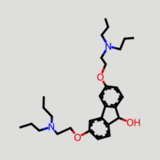 CCCN(CCC)CCOc1ccc2c(c1)-c1cc(OCCN(CCC)CCC)ccc1C2O